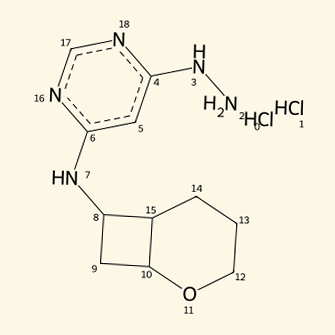 Cl.Cl.NNc1cc(NC2CC3OCCCC23)ncn1